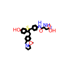 COc1cc(Cc2c(-c3ccc(NC(=O)[C@@H](N)CC(=O)O)cc3)sc3cc(O)ccc23)ccc1CN1CCCC1